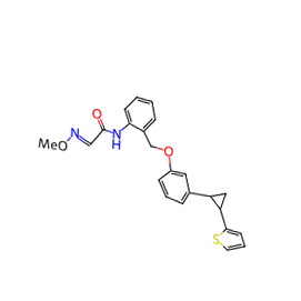 CON=CC(=O)Nc1ccccc1COc1cccc(C2CC2c2cccs2)c1